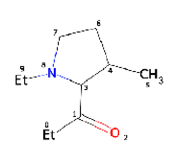 CCC(=O)C1C(C)CCN1CC